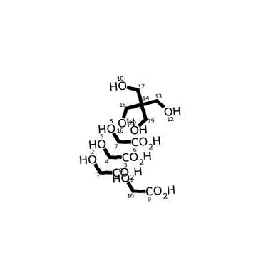 O=C(O)CO.O=C(O)CO.O=C(O)CO.O=C(O)CO.OCC(CO)(CO)CO